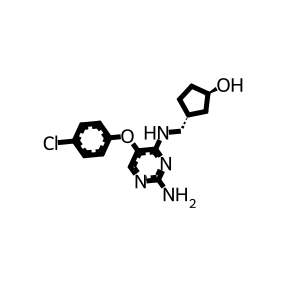 Nc1ncc(Oc2ccc(Cl)cc2)c(NC[C@@H]2CC[C@@H](O)C2)n1